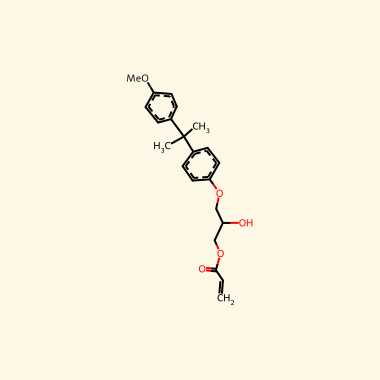 C=CC(=O)OCC(O)COc1ccc(C(C)(C)c2ccc(OC)cc2)cc1